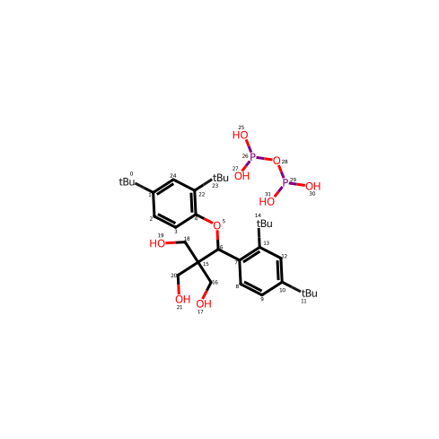 CC(C)(C)c1ccc(OC(c2ccc(C(C)(C)C)cc2C(C)(C)C)C(CO)(CO)CO)c(C(C)(C)C)c1.OP(O)OP(O)O